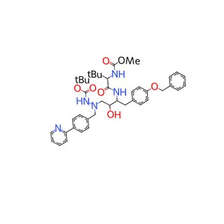 COC(=O)NC(C(=O)NC(Cc1ccc(OCc2ccccc2)cc1)C(O)CN(Cc1ccc(-c2ccccn2)cc1)NC(=O)OC(C)(C)C)C(C)(C)C